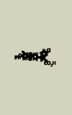 Cc1cc(S(=O)(=O)N2CC=C(c3cn(CC(=O)O)c4cc(Cl)ccc34)CC2)ccc1OC(C)C